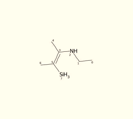 CCNC(C)=C(C)[SiH3]